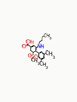 CCCCNC1=C(c2cc(C)cc(C)c2)C(S(C)(=O)=O)CC(C(=O)O)=C1